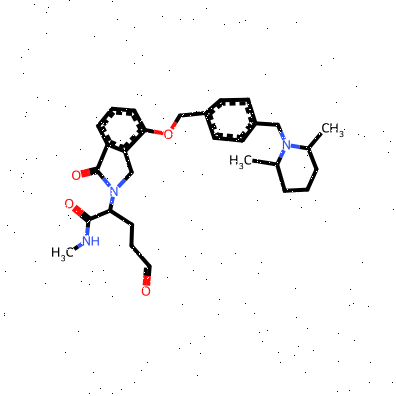 CNC(=O)C(CCC=O)N1Cc2c(OCc3ccc(CN4C(C)CCCC4C)cc3)cccc2C1=O